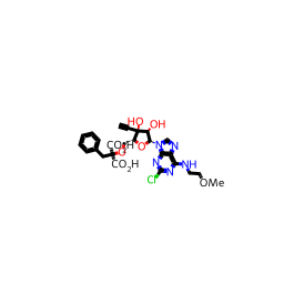 C#C[C@@]1(O)[C@@H](COC(Cc2ccccc2)(C(=O)O)C(=O)O)O[C@@H](n2cnc3c(NCCOC)nc(Cl)nc32)[C@@H]1O